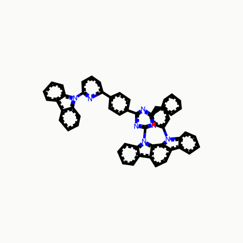 c1ccc(-c2nc(-c3ccc(-c4cccc(-n5c6ccccc6c6ccccc65)n4)cc3)nc(-n3c4ccccc4c4ccc5c6ccccc6n(-c6ccccc6)c5c43)n2)cc1